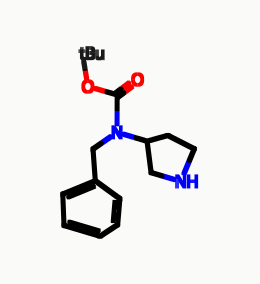 CC(C)(C)OC(=O)N(Cc1ccccc1)C1CCNC1